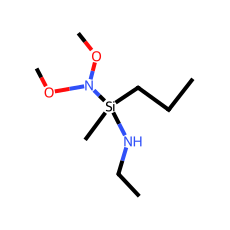 CCC[Si](C)(NCC)N(OC)OC